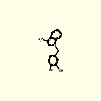 Cc1cn(Cc2ccc(O)c(O)c2)c2ccccc12